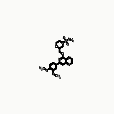 COc1ccc(-c2cc3nccnc3c(OCC3CN(S(N)(=O)=O)CCO3)n2)cc1OC